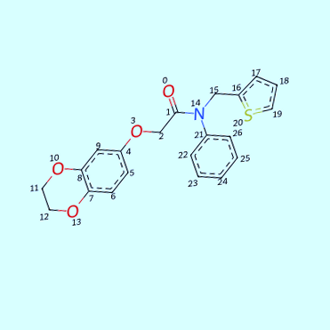 O=C(COc1ccc2c(c1)OCCO2)N(Cc1cccs1)c1ccccc1